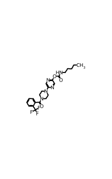 CCCCCNC(=O)Oc1cnc(N2CCN(C(=O)c3ccccc3C(F)(F)F)CC2)cn1